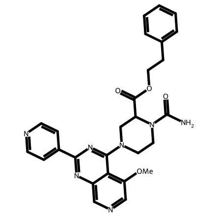 COc1cncc2nc(-c3ccncc3)nc(N3CCN(C(N)=O)C(C(=O)OCCc4ccccc4)C3)c12